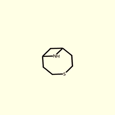 C1CC2CC(CCS1)N2